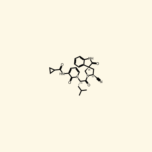 CC(C)C[C@@H](C(=O)N1C[C@]2(C[C@H]1C#N)C(=O)Nc1ccccc12)n1cccc(NC(=O)C2CC2)c1=O